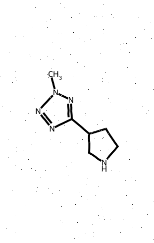 Cn1nnc(C2CCNC2)n1